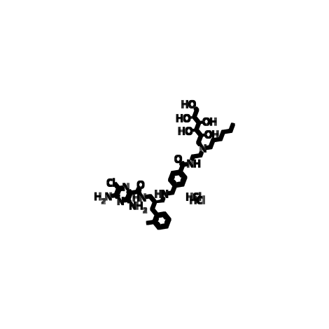 CCCCCCN(CCNC(=O)c1ccc(CNC[C@H](CNC(=O)c2nc(Cl)c(N)nc2N)Cc2ccccc2C)cc1)C[C@H](O)[C@@H](O)[C@H](O)[C@H](O)CO.Cl.Cl